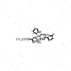 Cc1cccc(C(=O)N[C@@H](Cc2ccccc2)[C@H](O)CN(CC(=O)N(C)O)S(=O)(=O)C(C)C)n1